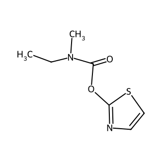 CCN(C)C(=O)Oc1nccs1